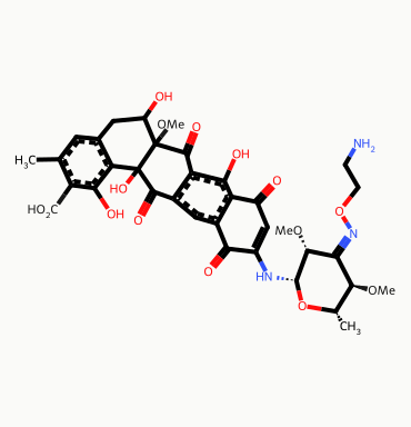 CO[C@@H]1C(=NOCCN)[C@@H](OC)[C@@H](NC2=CC(=O)c3c(cc4c(c3O)C(=O)C3(OC)C(O)Cc5cc(C)c(C(=O)O)c(O)c5C3(O)C4=O)C2=O)O[C@H]1C